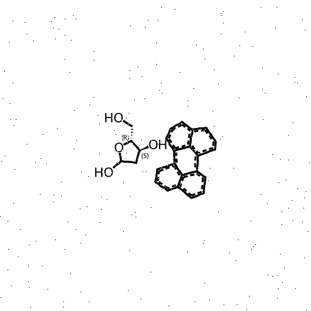 OC[C@H]1OC(O)C[C@@H]1O.c1cc2cccc3c4cccc5cccc(c(c1)c23)c54